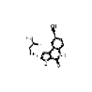 C#Cc1ccc2[nH]c(=O)c3[nH]ccc3c2c1.CCC(=O)O